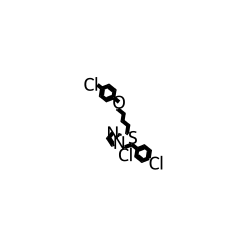 Clc1ccc(OCCCCCSC(c2ccc(Cl)cc2)C(Cl)n2ccnc2)cc1